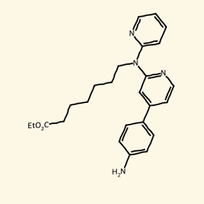 CCOC(=O)CCCCCCN(c1ccccn1)c1cc(-c2ccc(N)cc2)ccn1